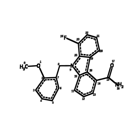 COc1ccccc1Cn1c2cccc(C(N)=O)c2c2[c]ccc(F)c21